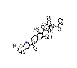 C=C/C=C\C(=C/CS)C(=O)N1CCc2c(cc(S)c(C(=O)N[C@@H](CNC(=O)c3cccs3)C(=O)O)c2S)C1